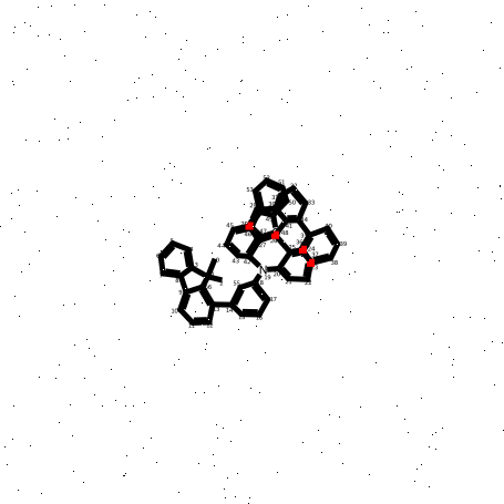 CC1(C)c2ccccc2-c2cccc(-c3cccc(N(c4ccccc4-c4cccc5cccc(-c6ccccc6)c45)c4cccc5c4oc4ccccc45)c3)c21